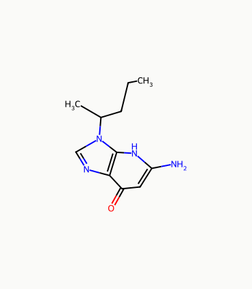 CCCC(C)n1cnc2c(=O)cc(N)[nH]c21